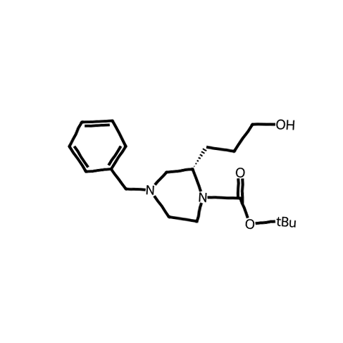 CC(C)(C)OC(=O)N1CCN(Cc2ccccc2)C[C@@H]1CCCO